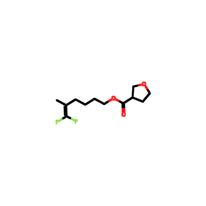 CC(CCCCOC(=O)C1CCOC1)=C(F)F